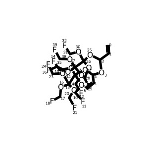 C=CC(OC(C=C)OC(OCF)(OCF)C(OCF)(OCF)OCF)OC(OCF)(OCF)C(OCF)(OCF)OCF